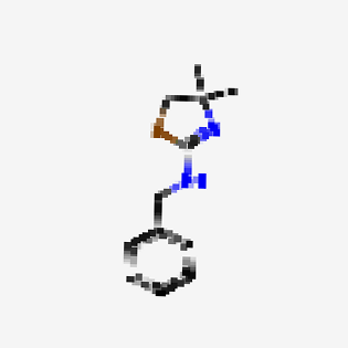 CC1(C)CSC(NCc2ccccc2)=N1